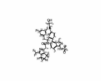 Cc1ccc(-c2ccc(C#CC(C)(C)O)nc2[C@H](Cc2cc(F)cc(F)c2)NC(=O)Cn2nc(C(F)F)c3c2C(F)(F)[C@@H]2C[C@H]32)c2c1c(NS(C)(=O)=O)nn2C